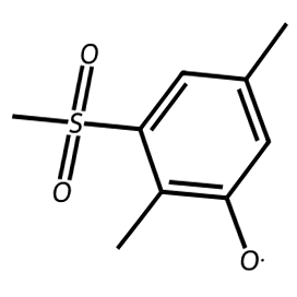 Cc1cc([O])c(C)c(S(C)(=O)=O)c1